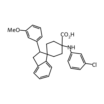 COc1cccc(C2Cc3ccccc3C23CCC(Nc2cccc(Cl)c2)(C(=O)O)CC3)c1